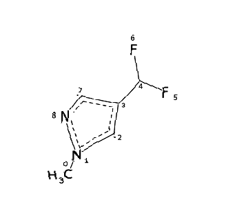 Cn1[c]c(C(F)F)[c]n1